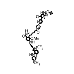 COc1c(NCC#Cc2cc3c(N[C@@H]4CCN(C)C[C@@H]4F)cccc3n2CC(F)(F)F)ccc(C(N)=O)c1CCCCCC(=O)N1CCN(c2ccc(-c3nc4nc(OC5CCC5)[nH]c4cc3Cl)cn2)CC1